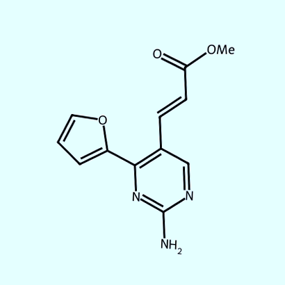 COC(=O)/C=C/c1cnc(N)nc1-c1ccco1